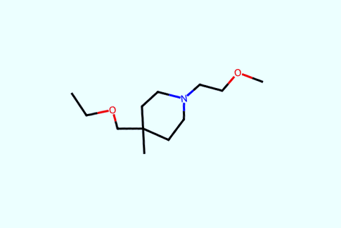 CCOCC1(C)CCN(CCOC)CC1